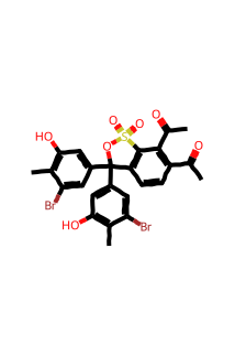 CC(=O)c1ccc2c(c1C(C)=O)S(=O)(=O)OC2(c1cc(O)c(C)c(Br)c1)c1cc(O)c(C)c(Br)c1